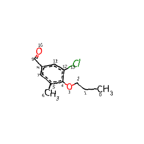 CCCOc1c(C)cc(C=O)cc1Cl